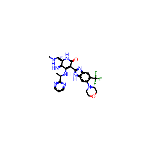 CN/C=C1/NC(=O)C(c2nc3cc(C(F)(F)F)c(N4CCOCC4)cc3[nH]2)=C(NC(C)c2ncccn2)C1=N